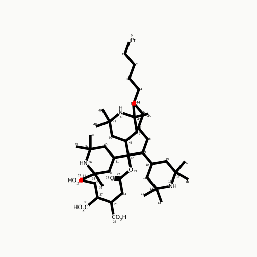 CC(C)CCCCCCCCC(C1CC(C)(C)NC(C)(C)C1)C(OC(=O)CC(C(=O)O)C(CC(=O)O)C(=O)O)(C1CC(C)(C)NC(C)(C)C1)C1CC(C)(C)NC(C)(C)C1